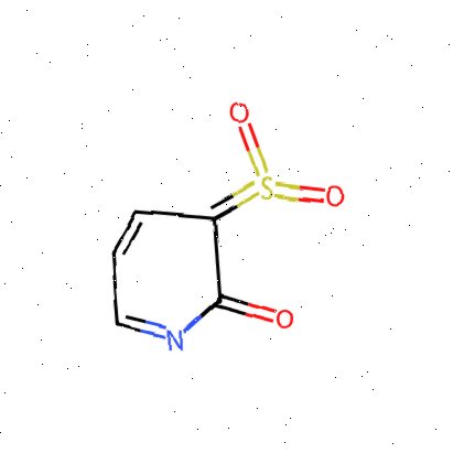 O=C1N=CC=CC1=S(=O)=O